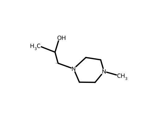 CC(O)[CH]N1CCN(C)CC1